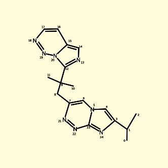 CC(C)c1cn2cc(CC(C)(C)c3ncc4ccnnn34)nnc2n1